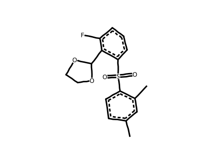 Cc1ccc(S(=O)(=O)c2cccc(F)c2C2OCCO2)c(C)c1